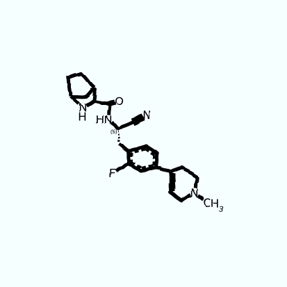 CN1CC=C(c2ccc(C[C@@H](C#N)NC(=O)C3NC4CCC3C4)c(F)c2)CC1